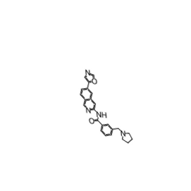 O=C(Nc1cc2cc(-c3cnco3)ccc2cn1)c1cccc(CN2CCCC2)c1